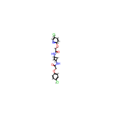 O=C(COc1ccc(Cl)cc1)NC12CC(NC(=O)COc3ccc(Cl)cn3)(C1)C2